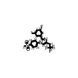 Cc1cc(F)cc(-c2nc(CC(F)(F)F)cn2-c2ccc(S(C)(=O)=O)cc2)c1